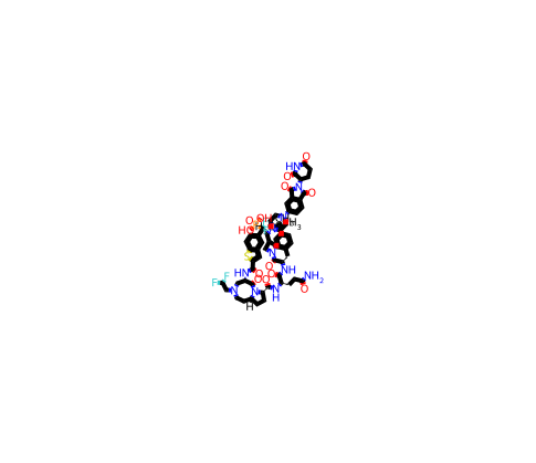 CC(C)(C)c1ccc(C[C@H](NC(=O)[C@H](CCC(N)=O)NC(=O)[C@@H]2CC[C@@H]3CCN(CC(F)F)C[C@H](NC(=O)c4cc5cc(C(F)(F)P(=O)(O)O)ccc5s4)C(=O)N32)C(=O)N2CC(CN3CCN(c4ccc5c(c4)C(=O)N(C4CCC(=O)NC4=O)C5=O)CC3)C2)cc1